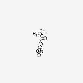 CC(C)COc1ccccc1CN1CCC2(CC1)CCN(S(=O)(=O)c1ccccc1)CC2